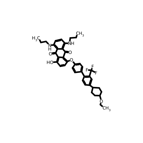 CCCNc1ccc(NCCC)c2c1C(=O)c1c(O)ccc(Oc3ccc(-c4ccc(C5CCC(OCC)CC5)cc4C(F)(F)F)cc3)c1C2=O